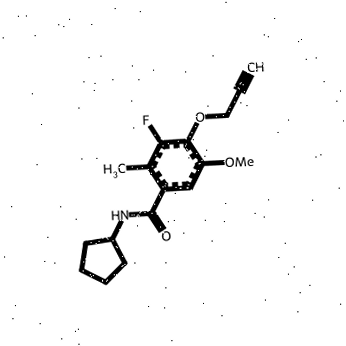 C#CCOc1c(OC)cc(C(=O)NC2CCCC2)c(C)c1F